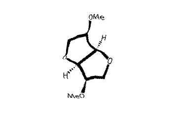 CO[C@@H]1CO[C@H]2[C@@H]1OC[C@H]2OC